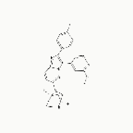 COc1cc(-c2c(-c3ccc(F)cc3)nc3ccc(N4C[C@@H]5C[C@H]4CN5)nn23)ccn1